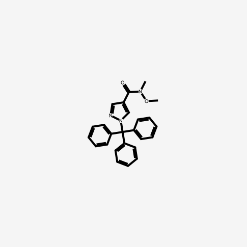 CON(C)C(=O)c1cnn(C(c2ccccc2)(c2ccccc2)c2ccccc2)c1